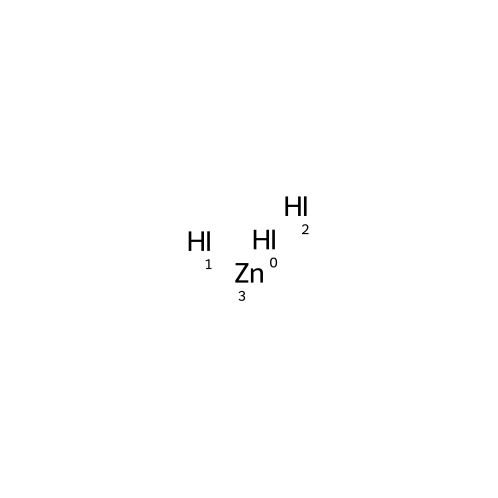 I.I.I.[Zn]